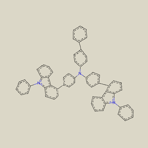 c1ccc(-c2ccc(N(c3ccc(-c4cccc5c4c4ccccc4n5-c4ccccc4)cc3)c3ccc(-c4cccc5c4c4ccccc4n5-c4ccccc4)cc3)cc2)cc1